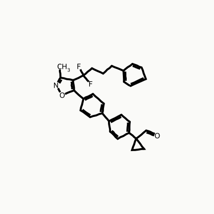 Cc1noc(-c2ccc(-c3ccc(C4(C=O)CC4)cc3)cc2)c1C(F)(F)CCCc1ccccc1